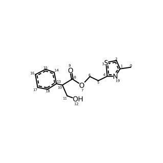 Cc1csc(CCOC(=O)C(CO)c2ccccc2)n1